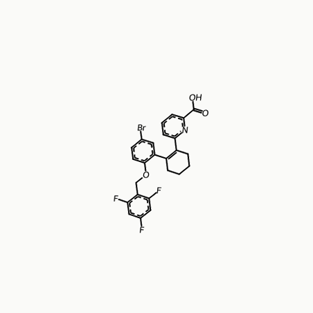 O=C(O)c1cccc(C2=C(c3cc(Br)ccc3OCc3c(F)cc(F)cc3F)CCCC2)n1